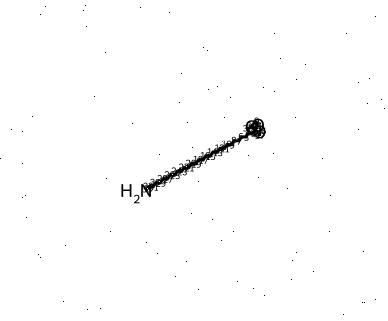 CO[Si](CCCCCCCCCCCCCCCCCCCCCCCCCCCCCCN)(OC)OC